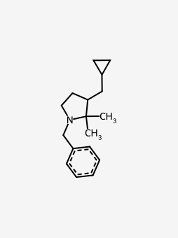 CC1(C)C(CC2CC2)CCN1Cc1ccccc1